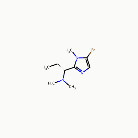 CC[C@H](c1ncc(Br)n1C)N(C)C